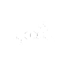 N=C(Nc1ccc(C(=O)N2CCCC2)cc1)c1c(NC2CCCCC2)cc[nH]c1=O